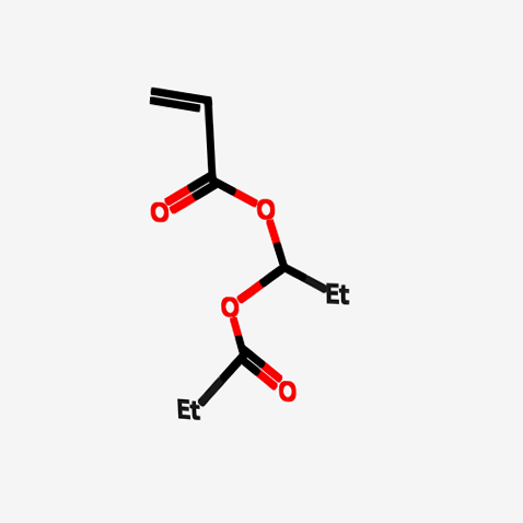 C=CC(=O)OC(CC)OC(=O)CC